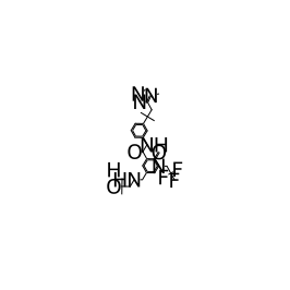 Cn1cnnc1CC(C)(C)c1cccc(NC(=O)c2cc(CNCC(C)(C)O)cn(CC(F)(F)F)c2=O)c1